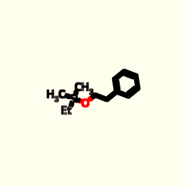 CC[Si](C)(C)OCCc1ccccc1